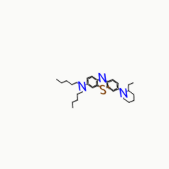 CCCCCN(CCCCC)c1ccc2nc3ccc(N4CCCCC4CC)cc3[s+]c2c1